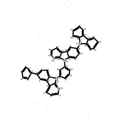 c1ccc(-c2ccc3c(c2)c2cccnc2n3-c2cccc(-n3c4ccc(-n5c6ccccc6c6ccccc65)cc4c4cccnc43)c2)cc1